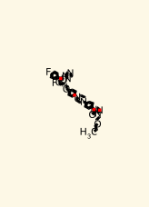 CCCOCCn1ncn(-c2ccc(N3CCN(c4ccc(OC[C@@H]5CO[C@@](Cn6cncn6)(c6ccc(F)cc6F)O5)cc4)CC3)cc2)c1=O